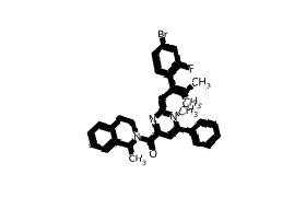 CC(C)=C(/C=C1/N=C(C(=O)N2CCc3ccccc3C2C)C=C(c2ccccc2)N1C)c1ccc(Br)cc1F